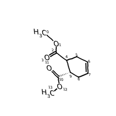 COC(=O)C1CC=CC[C@@H]1C(=O)OC